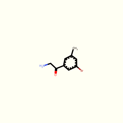 Cc1cc(Br)cc(C(=O)CN)c1